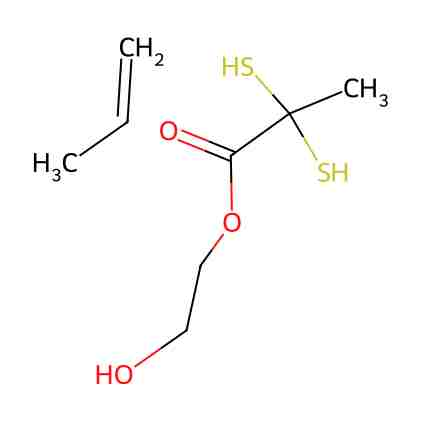 C=CC.CC(S)(S)C(=O)OCCO